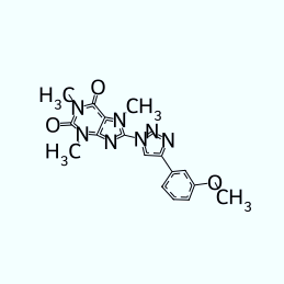 COc1cccc(-c2cn(-c3nc4c(c(=O)n(C)c(=O)n4C)n3C)nn2)c1